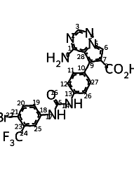 Nc1ncnn2cc(C(=O)O)c(-c3ccc(NC(=O)Nc4ccc(Br)c(C(F)(F)F)c4)cc3)c12